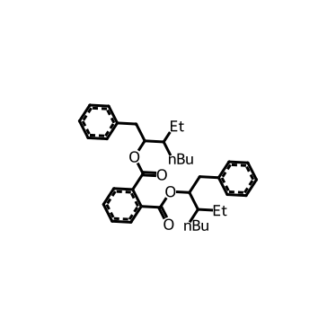 CCCCC(CC)C(Cc1ccccc1)OC(=O)c1ccccc1C(=O)OC(Cc1ccccc1)C(CC)CCCC